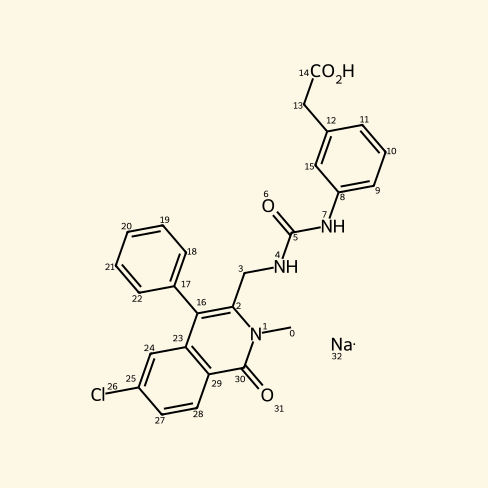 Cn1c(CNC(=O)Nc2cccc(CC(=O)O)c2)c(-c2ccccc2)c2cc(Cl)ccc2c1=O.[Na]